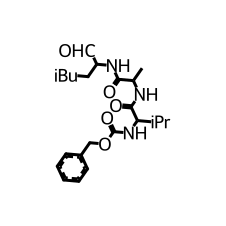 CCC(C)CC(C=O)NC(=O)C(C)NC(=O)C(NC(=O)OCc1ccccc1)C(C)C